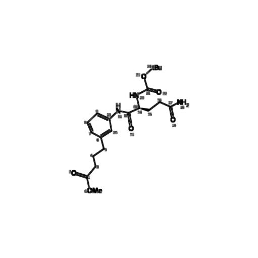 COC(=O)CCCc1cccc(NC(=O)[C@H](CCC(N)=O)NC(=O)OC(C)(C)C)c1